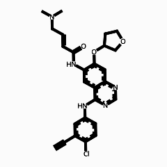 C#Cc1cc(Nc2ncnc3cc(OC4CCOC4)c(NC(=O)C=CCN(C)C)cc23)ccc1Cl